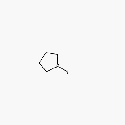 IP1CCCC1